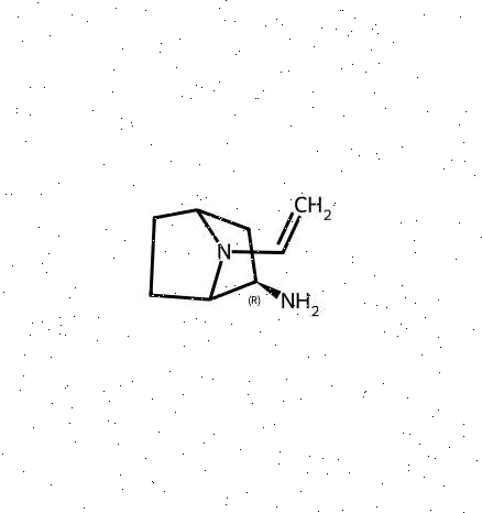 C=CN1C2CCC1[C@H](N)C2